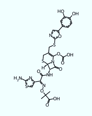 CC(C)(ON=C(C(=O)N[C@@H]1C(=O)N2C(OC(=O)O)=C(CSc3ncc(-c4ccc(O)c(O)c4)o3)CS[C@@H]12)c1csc(N)n1)C(=O)O